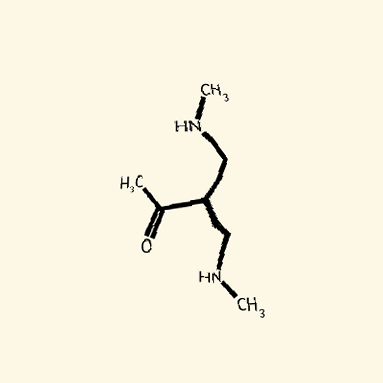 CNCC(CNC)C(C)=O